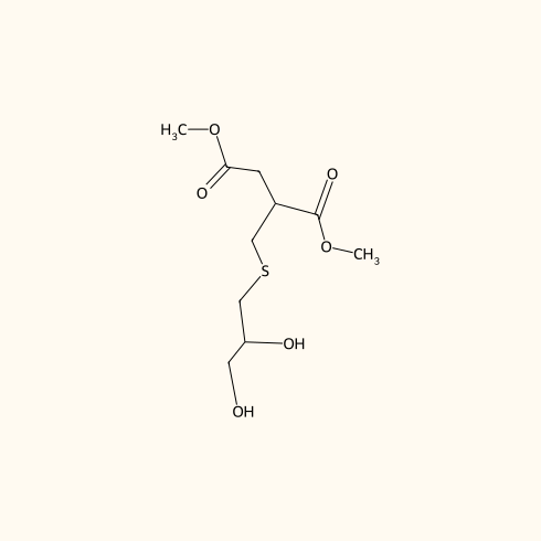 COC(=O)CC(CSCC(O)CO)C(=O)OC